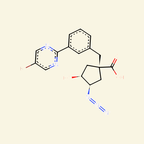 [N-]=[N+]=N[C@@H]1C[C@@](Cc2cccc(-c3ncc(Br)cn3)c2)(C(=O)O)C[C@@H]1O